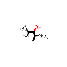 CCCCC(CC)C(O)C(C)[N+](=O)[O-]